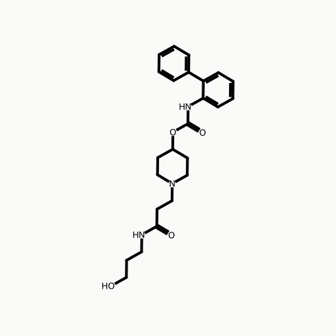 O=C(CCN1CCC(OC(=O)Nc2ccccc2-c2ccccc2)CC1)NCCCO